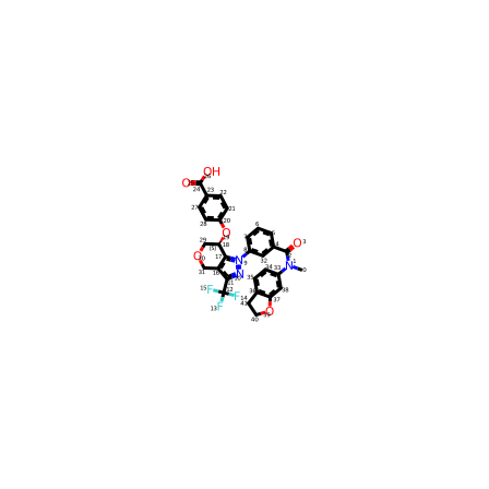 CN(C(=O)c1cccc(-n2nc(C(F)(F)F)c3c2[C@H](Oc2ccc(C(=O)O)cc2)COC3)c1)c1ccc2c(c1)OCC2